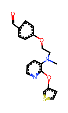 CN(CCOc1ccc(C=O)cc1)c1cccnc1Oc1ccsc1